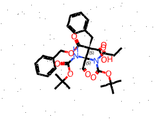 CCC(=O)N(C(=O)OC(C)(C)C)[C@@]([C]=O)(NC(=O)OC(C)(C)C)[C@@](Cc1ccccc1)(C(=O)O)C(=O)OCc1ccccc1